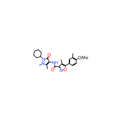 COc1ccc(-c2onc(C(=O)Nc3c(C)n(C)n(C4CCCCC4)c3=O)c2C)cc1C